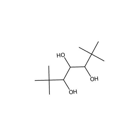 CC(C)(C)C(O)C(O)C(O)C(C)(C)C